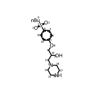 CCCCS(=O)(=O)c1ccc(OCC(O)CN2CCNCC2)cc1